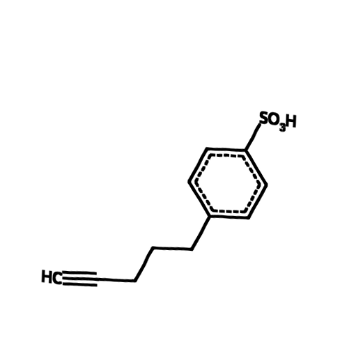 C#CCCCc1ccc(S(=O)(=O)O)cc1